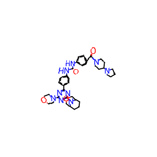 O=C(Nc1ccc(C(=O)N2CCC(N3CCCC3)CC2)cc1)Nc1ccc(-c2nc(N3CCOCC3)nc(N3C4CCCC3COC4)n2)cc1